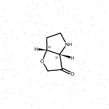 O=C1CO[C@@H]2CCN[C@H]12